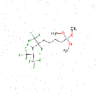 CO[Si](CCCCC(F)(C(F)C(F)(C(F)(F)F)C(F)(F)F)C(F)(F)F)(OC)OC